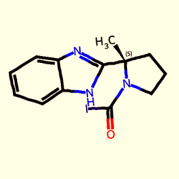 C[C@@]1(c2nc3ccccc3[nH]2)CCCN1C(=O)I